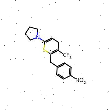 O=[N+]([O-])c1ccc(CC2=C(C(F)(F)F)C[C]=C(N3CCCC3)S2)cc1